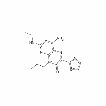 CCCn1c(=O)c(-c2nccs2)nc2c(N)cc(NCC)nc21